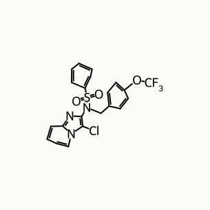 O=S(=O)(c1ccccc1)N(Cc1ccc(OC(F)(F)F)cc1)c1nc2ccccn2c1Cl